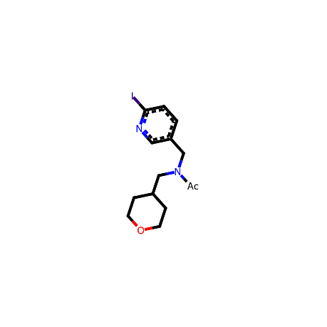 CC(=O)N(Cc1ccc(I)nc1)CC1CCOCC1